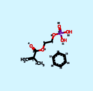 C=C(C)C(=O)OCCOP(=O)(O)O.c1ccccc1